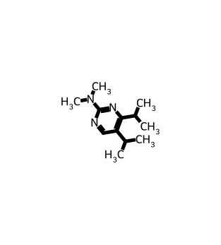 CC(C)c1cnc(N(C)C)nc1C(C)C